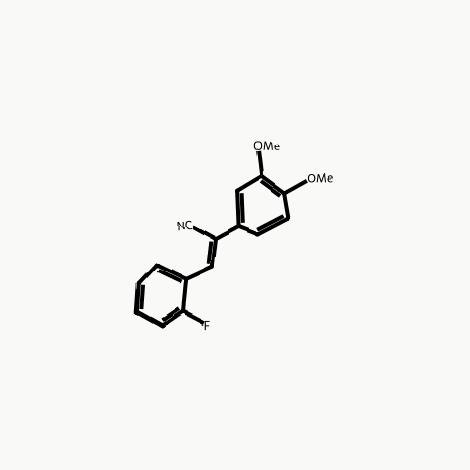 COc1ccc(C(C#N)=Cc2ccccc2F)cc1OC